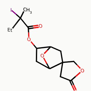 CCC(C)(I)C(=O)OC1CC2OC1CC21COC(=O)C1